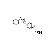 CN(/N=C/c1cc[n+](CCS)cc1)c1ccccc1